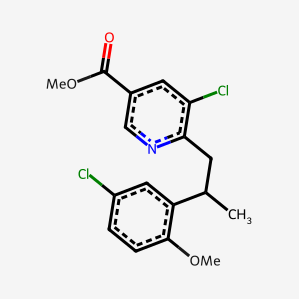 COC(=O)c1cnc(CC(C)c2cc(Cl)ccc2OC)c(Cl)c1